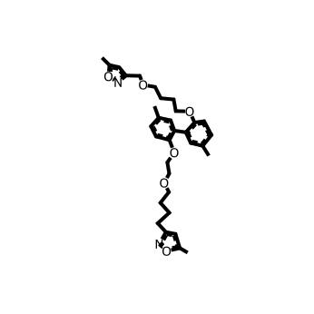 Cc1ccc(OCCCCOCc2cc(C)on2)c(-c2cc(C)ccc2OCCOCCCCc2cc(C)on2)c1